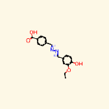 CCOc1cc(/C=N/N=C/c2ccc(C(=O)O)cc2)ccc1O